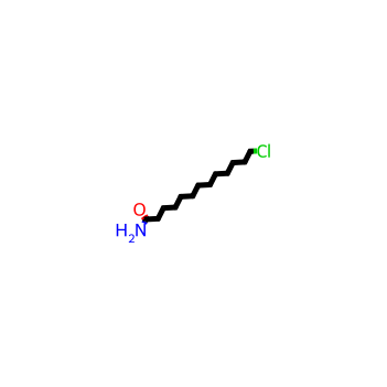 NC(=O)CCCCCCCCCCCCCl